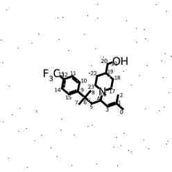 CC(C)=CC(CC(C)(C)c1ccc(C(F)(F)F)cc1)N1CCC(CO)CC1